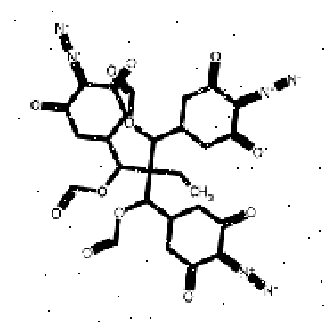 CCC(C(OC=O)C1CC(=O)C(=[N+]=[N-])C(=O)C1)(C(OC=O)C1CC(=O)C(=[N+]=[N-])C(=O)C1)C(OC=O)C1CC(=O)C(=[N+]=[N-])C(=O)C1